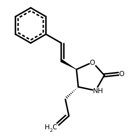 C=CC[C@H]1NC(=O)O[C@@H]1/C=C/c1ccccc1